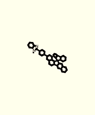 Cn1c(-c2ccc(-c3ccc4c5c(ccc4c3)-c3cc4ccccc4cc3C53c4ccccc4-c4ccccc43)cc2)nc2ccccc21